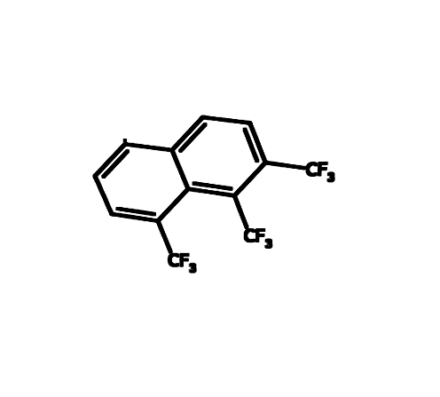 FC(F)(F)c1ccc2[c]ccc(C(F)(F)F)c2c1C(F)(F)F